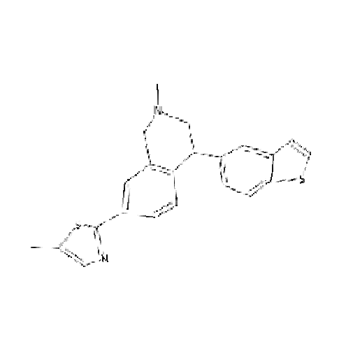 Cc1cnc(-c2ccc3c(c2)CN(C)CC3c2ccc3sccc3c2)s1